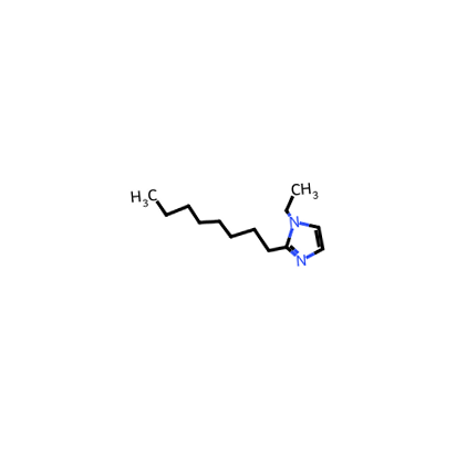 CCCCCCCCc1nccn1CC